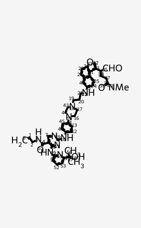 C=CCNC(=O)c1cnc(Nc2ccc(N3CCN(CCCNc4ccc5c(ccc6occ(C(C=O)CCC(=O)NC)c65)c4)CC3)cc2)nc1Nc1cccc(C(C)(C)O)n1